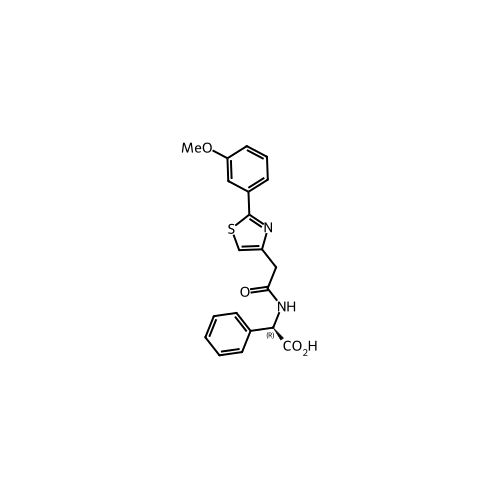 COc1cccc(-c2nc(CC(=O)N[C@@H](C(=O)O)c3ccccc3)cs2)c1